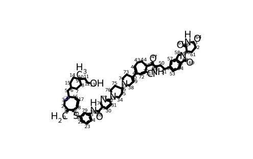 C=C1C/C=C(/CC2CCC(C)(CCO)CC2)C=C=CC1Sc1cccc(NC(=O)C2C=CC(N3CCC(N4CC=C(C5=CCCC(C(=O)C(=N)CCc6ccc7c(c6)CN(C6CCC(=O)NC6=O)C7=O)C(Cl)=C5)CC4)CC3)=NC2)c1